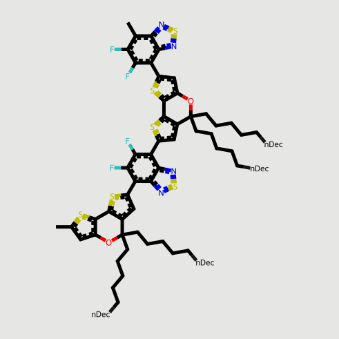 CCCCCCCCCCCCCCCC1(CCCCCCCCCCCCCCC)Oc2cc(C)sc2-c2sc(-c3c(F)c(F)c(-c4cc5c(s4)-c4sc(-c6c(F)c(F)c(C)c7nsnc67)cc4OC5(CCCCCCCCCCCCCCC)CCCCCCCCCCCCCCC)c4nsnc34)cc21